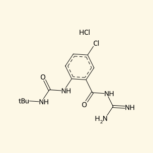 CC(C)(C)NC(=O)Nc1ccc(Cl)cc1C(=O)NC(=N)N.Cl